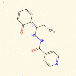 CC/C(NNC(=O)c1ccncc1)=C1\C=CC=CC1=O